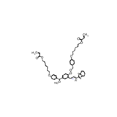 C=CC(=O)OCCCCCCOc1ccc(COOc2ccc(C(OO)c3ccc(OCCCCCCOC(=O)C=C)cc3)cc2/C=N/Nc2nc3ccccc3s2)cc1